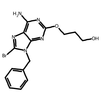 Nc1nc(OCCCO)nc2c1nc(Br)n2Cc1ccccc1